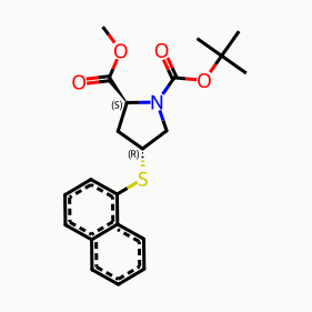 COC(=O)[C@@H]1C[C@@H](Sc2cccc3ccccc23)CN1C(=O)OC(C)(C)C